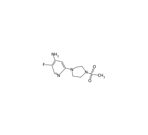 CS(=O)(=O)N1CCN(c2cc(N)c(F)cn2)CC1